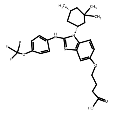 C[C@H]1C[C@@H](n2c(Nc3ccc(OC(F)(F)F)cc3)nc3cc(OCCCC(=O)O)ccc32)CC(C)(C)C1